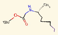 C[C@H](CCI)NC(=O)OC(C)(C)C